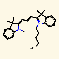 CN1/C(=C\C=C\C2=[N+](CCCCC=O)c3ccccc3C2(C)C)C(C)(C)c2ccccc21